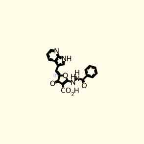 O=C(O)C1=C(NNC(=O)c2ccccc2)O/C(=C\c2c[nH]c3ncccc23)C1=O